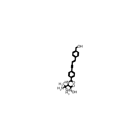 CC(C)(N)C(NC(=O)c1ccc(C#C/C=C/c2ccc(CO)cc2)cc1)C(=O)NO